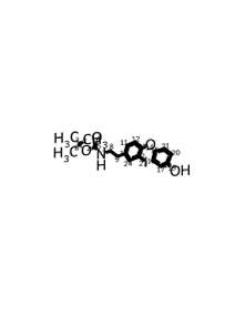 CC(C)(C)OC(=O)NCCc1ccc(Oc2ccc(O)cc2)c(I)c1